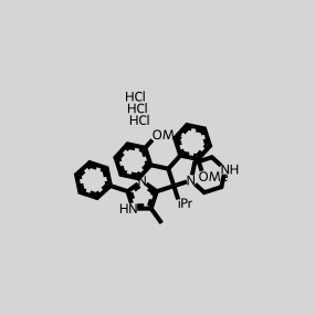 COc1ccccc1C(c1ccccc1OC)C(c1nc(-c2ccccc2)[nH]c1C)(C(C)C)N1CCNCC1.Cl.Cl.Cl